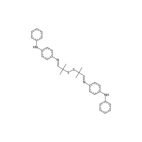 CC(C)(C=Nc1ccc(Nc2ccccc2)cc1)SSC(C)(C)C=Nc1ccc(Nc2ccccc2)cc1